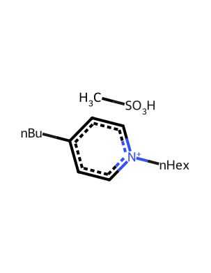 CCCCCC[n+]1ccc(CCCC)cc1.CS(=O)(=O)O